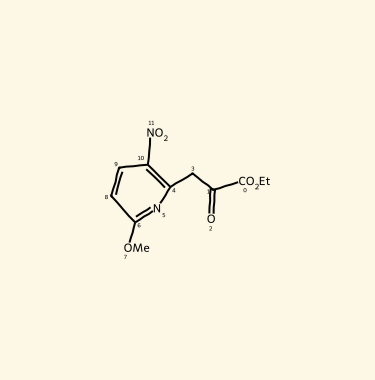 CCOC(=O)C(=O)Cc1nc(OC)ccc1[N+](=O)[O-]